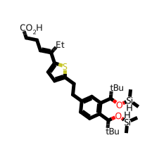 CCC(=CCCC(=O)O)c1ccc(CCc2ccc(C(O[SiH](C)C)C(C)(C)C)c(C(O[SiH](C)C)C(C)(C)C)c2)s1